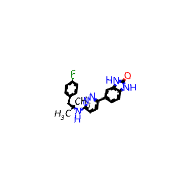 CC(C)(Cc1ccc(F)cc1)Nc1ccc(-c2ccc3[nH]c(=O)[nH]c3c2)nn1